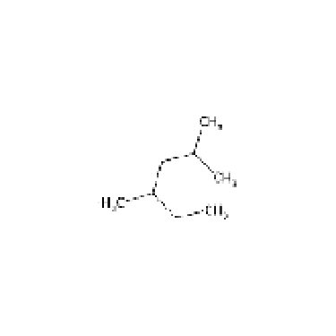 [CH2]C(CC)CC(C)C